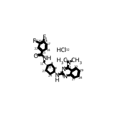 CN(C)c1nc(N[C@H]2CC[C@@H](CNC(=O)c3ccc(F)c(F)c3)CC2)nc2ccccc12.Cl